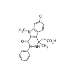 Cn1c2c(c3ccc(Cl)cc31)C(C)(CC(=O)O)NN(c1ccccc1)C2=O